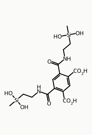 C[Si](O)(O)CCNC(=O)c1cc(C(=O)NCC[Si](C)(O)O)c(C(=O)O)cc1C(=O)O